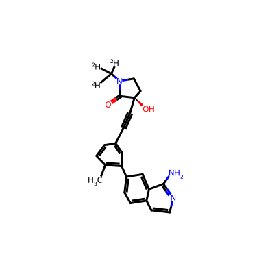 [2H]C([2H])([2H])N1CC[C@](O)(C#Cc2ccc(C)c(-c3ccc4ccnc(N)c4c3)c2)C1=O